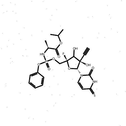 C#C[C@@]1(O)C(O)[C@@](F)(COP(=O)(N[C@@H](C)C(=O)OC(C)C)Oc2ccccc2)O[C@H]1n1ccc(=S)[nH]c1=O